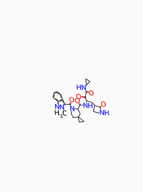 Cn1nc2ccccc2c1C(=O)N1CCC2(CC2)CC1C(=O)NC(CC1CCNC1=O)C(=O)C(=O)NC1CC1